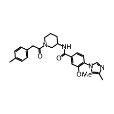 COc1cc(C(=O)NC2CCCN(C(=O)Cc3ccc(C)cc3)C2)ccc1-n1cnc(C)c1